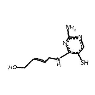 Nc1ncc(S)c(NC/C=C/CO)n1